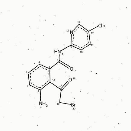 Nc1cccc(C(=O)Nc2ccc(Cl)cn2)c1C(=O)CBr